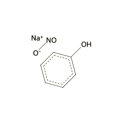 O=N[O-].Oc1ccccc1.[Na+]